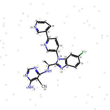 C[C@H](Nc1ncnc(N)c1C#N)c1nc2ccc(F)cc2n1-c1ccc(-c2cccnc2)nc1